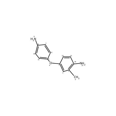 Cc1cc(Oc2ccc(N)cc2)ccc1N